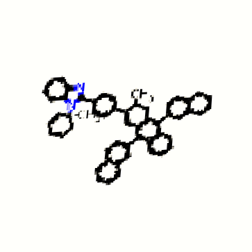 CC1Cc2c(c(-c3ccc4ccccc4c3)c3ccccc3c2-c2ccc3ccccc3c2)C=C1c1ccc(-c2nc3ccccc3n2[C@]2(C)C=CC=CC2)cc1